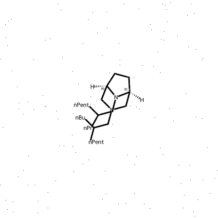 CCCCCC(CCCC)CN1C[C@H]2CC[C@@H](C1)N2CC(CCC)CCCCC